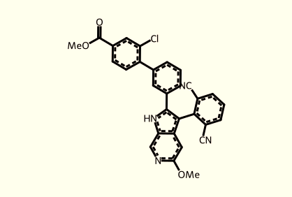 COC(=O)c1ccc(-c2cccc(-c3[nH]c4cnc(OC)cc4c3-c3c(C#N)cccc3C#N)c2)c(Cl)c1